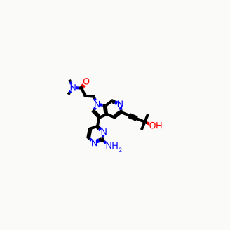 CN(C)C(=O)CCn1cc(-c2ccnc(N)n2)c2cc(C#CC(C)(C)O)ncc21